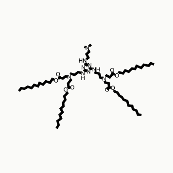 CCCCCCCCCCCCOC(=O)CCN(CCCNc1nc(NCCCN(C)C)nc(NCCCN(CCC(=O)OCCCCCCCCCCCC)CCC(=O)OCCCCCCCCCCCC)n1)CCC(=O)OCCCCCCCCCCCC